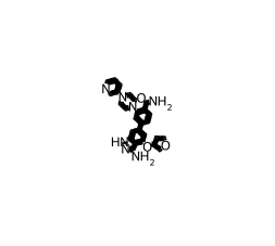 NC(=O)c1ccc(-c2cc(O[C@H]3CCOC3)c3c(N)n[nH]c3c2)cc1N1CCN(c2cccnc2)CC1